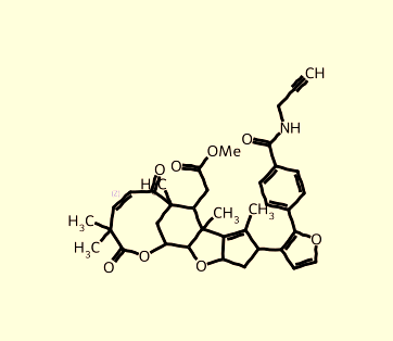 C#CCNC(=O)c1ccc(-c2occc2C2CC3OC4C5CC(C)(C(=O)/C=C\C(C)(C)C(=O)O5)C(CC(=O)OC)C4(C)C3=C2C)cc1